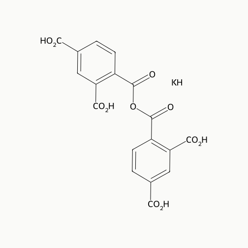 O=C(O)c1ccc(C(=O)OC(=O)c2ccc(C(=O)O)cc2C(=O)O)c(C(=O)O)c1.[KH]